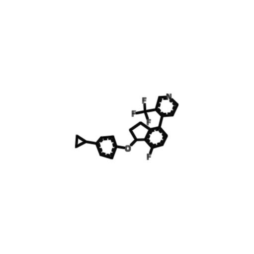 Fc1ccc(-c2ccncc2C(F)(F)F)c2c1C(Oc1ccc(C3CC3)cc1)CC2